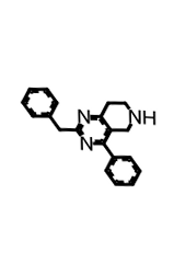 c1ccc(Cc2nc3c(c(-c4ccccc4)n2)CNCC3)cc1